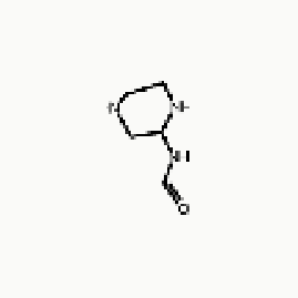 O=CNC1C[N]CCN1